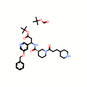 CC(C)(C)OC(=O)CC(NC(=O)[C@@H]1CCCN(C(=O)CCC2CCNCC2)C1)c1cncc(OCc2ccccc2)c1.CC(C)(C)OC=O